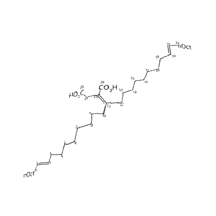 CCCCCCCCC=CCCCCCCCCC(CCCCCCCCC=CCCCCCCCC)=C(CC(=O)O)C(=O)O